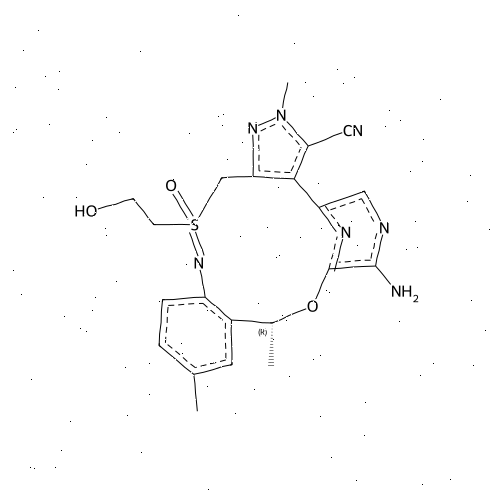 Cc1ccc2c(c1)[C@@H](C)Oc1nc(cnc1N)-c1c(nn(C)c1C#N)CS(=O)(CCO)=N2